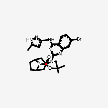 Cc1cc(Nc2nc(NC3CC4CCC(C3)N4C(=O)OC(C)(C)C)nc3cc(Br)ccc23)n[nH]1